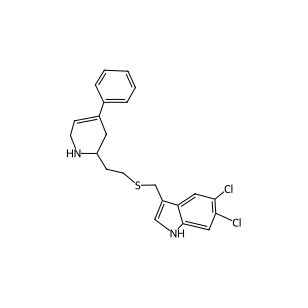 Clc1cc2[nH]cc(CSCCC3CC(c4ccccc4)=CCN3)c2cc1Cl